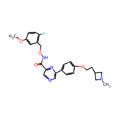 COc1ccc(F)c(CONC(=O)c2cncc(-c3ccc(OCCC4CN(C)C4)cc3)n2)c1